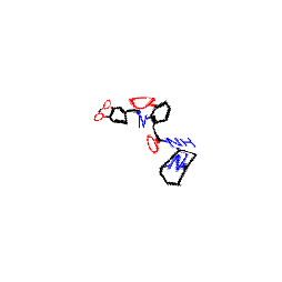 CN1C2CCCC1CC(NC(=O)c1cccc3oc(-c4ccc5c(c4)OCO5)nc13)C2